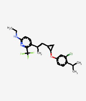 CCNc1ccc(C(C)CC2CC2Oc2ccc(C(C)C)c(Cl)c2)c(C(F)(F)F)n1